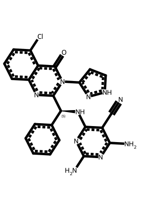 N#Cc1c(N)nc(N)nc1N[C@@H](c1ccccc1)c1nc2cccc(Cl)c2c(=O)n1-c1cc[nH]n1